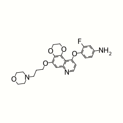 Nc1ccc(Oc2ccnc3cc(OCCCN4CCOCC4)c4c(c23)OCCO4)c(F)c1